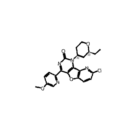 CC[C@H]1C[C@@H](n2c(=O)nc(-c3ccc(OC)cn3)c3oc4ccc(Cl)nc4c32)CCO1